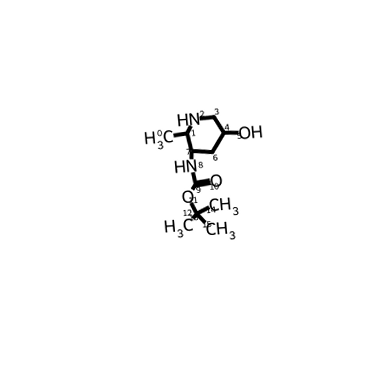 CC1NCC(O)CC1NC(=O)OC(C)(C)C